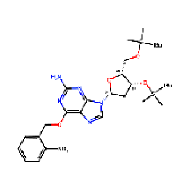 CC(C)(C)[Si](C)(C)OC[C@H]1O[C@@H](n2cnc3c(OCc4ccccc4[N+](=O)[O-])nc(N)nc32)C[C@H]1O[Si](C)(C)C(C)(C)C